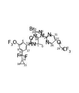 CC(NC(=O)c1cc(C(F)(F)F)cc(C(F)(F)C2CC2)c1)c1nc(Br)nn1-c1ncc(OCC(F)(F)F)cn1